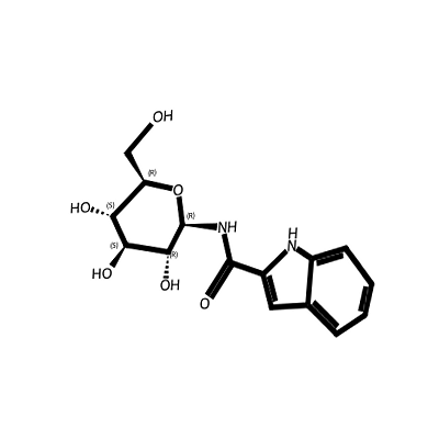 O=C(N[C@@H]1O[C@H](CO)[C@@H](O)[C@H](O)[C@H]1O)c1cc2ccccc2[nH]1